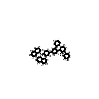 c1ccc(-c2cc(-c3ccc(N(c4cccc5ccccc45)c4cccc5ccccc45)cc3)ccc2-c2cccc3c2oc2ccccc23)cc1